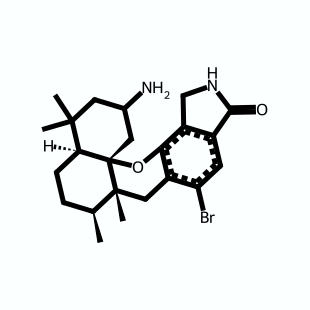 C[C@H]1CC[C@H]2C(C)(C)CC(N)C[C@]23Oc2c(c(Br)cc4c2CNC4=O)C[C@]13C